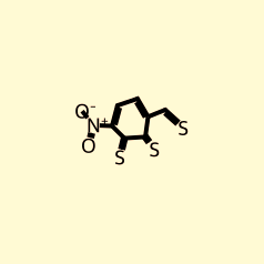 O=[N+]([O-])C1=CC=C(C=S)C(=S)C1=S